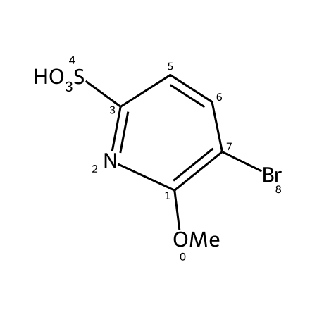 COc1nc(S(=O)(=O)O)ccc1Br